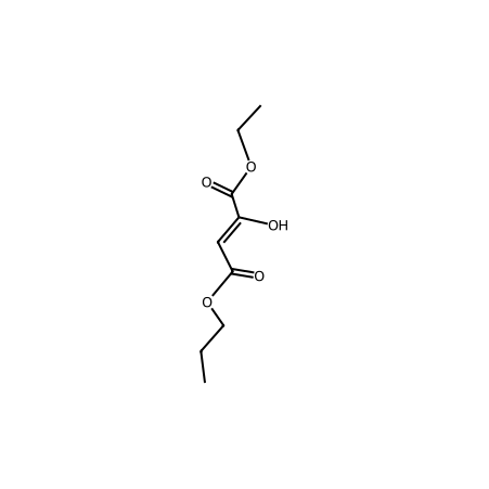 CCCOC(=O)/C=C(\O)C(=O)OCC